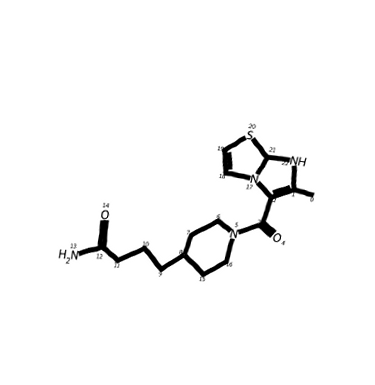 CC1=C(C(=O)N2CCC(CCCC(N)=O)CC2)N2C=CSC2N1